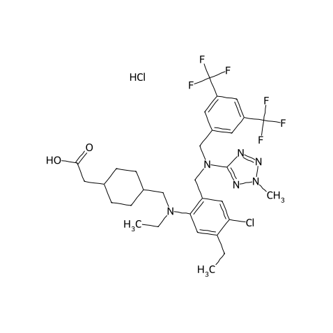 CCc1cc(N(CC)CC2CCC(CC(=O)O)CC2)c(CN(Cc2cc(C(F)(F)F)cc(C(F)(F)F)c2)c2nnn(C)n2)cc1Cl.Cl